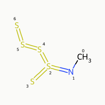 CN=S(=S)=S=S=S